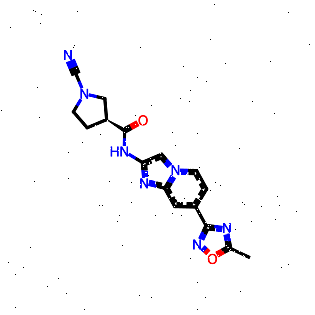 Cc1nc(-c2ccn3cc(NC(=O)[C@H]4CCN(C#N)C4)nc3c2)no1